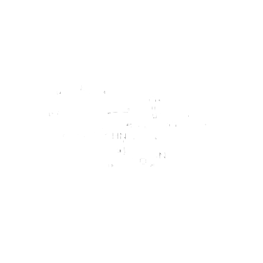 CCOC(=O)[C@](C#N)(CC1CCCCCCC1)NC(C)=O